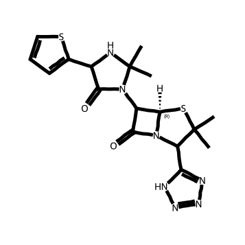 CC1(C)S[C@@H]2C(N3C(=O)C(c4cccs4)NC3(C)C)C(=O)N2C1c1nnn[nH]1